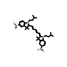 CC(C)CCN1C2=C(CC([N+](=O)[O-])C=C2)C(C)(C)\C1=C/C=C/C=C/C1=[N+](CCC(C)C)c2ccc([N+](=O)[O-])cc2C1(C)C